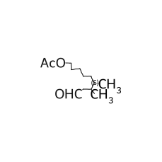 CC(=O)OCCCCC[C@H](C)C(C)CC=O